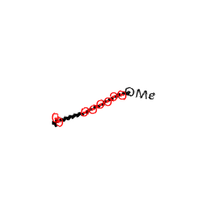 C=C(C)C(=O)OCCCCCCCCCCOCCOCCOCCOCCOCCOCCOC